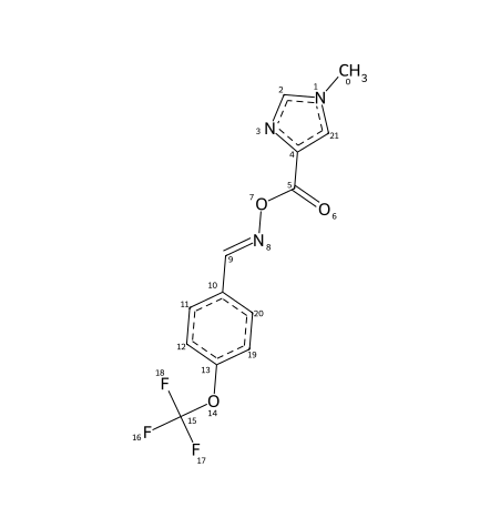 Cn1cnc(C(=O)ON=Cc2ccc(OC(F)(F)F)cc2)c1